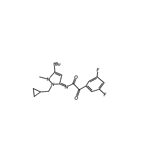 Cn1c(C(C)(C)C)c/c(=N\C(=O)C(=O)c2cc(F)cc(F)c2)n1CC1CC1